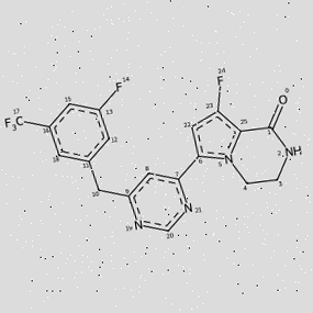 O=C1NCCn2c(-c3cc(Cc4cc(F)cc(C(F)(F)F)c4)ncn3)cc(F)c21